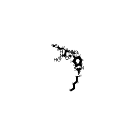 CCCCCSc1nc2ccc(S(=O)(=O)N[C@H](CCSC)C(=O)NO)cc2s1